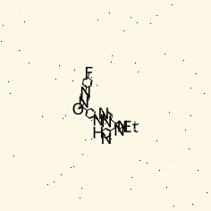 CCn1cc(-c2ccnc(Nc3ccc(C(=O)N4CCN(c5ccc(F)cc5)CC4)cc3)n2)c(-c2cccnc2)n1